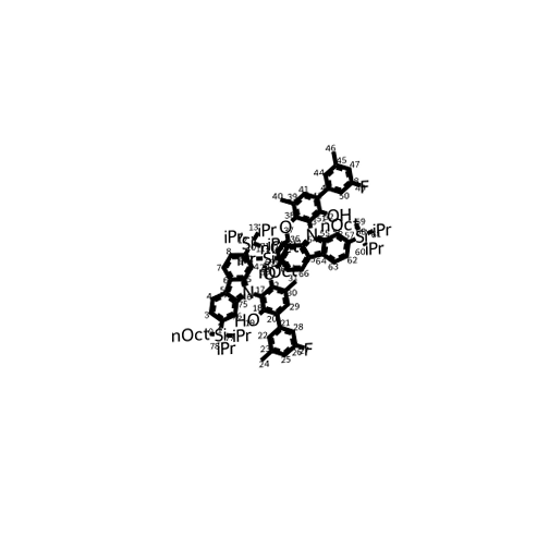 CCCCCCCC[Si](c1ccc2c3ccc([Si](CCCCCCCC)(C(C)C)C(C)C)cc3n(-c3c(O)c(-c4cc(C)cc(F)c4)cc(C)c3OCCCOc3c(C)cc(-c4cc(C)cc(F)c4)c(O)c3-n3c4cc([Si](CCCCCCCC)(C(C)C)C(C)C)ccc4c4ccc([Si](CCCCCCCC)(C(C)C)C(C)C)cc43)c2c1)(C(C)C)C(C)C